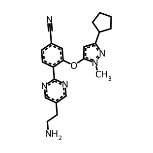 Cn1nc(C2CCCC2)cc1Oc1cc(C#N)ccc1-c1ncc(CCN)cn1